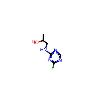 CC(O)CNc1n[c]nc(F)n1